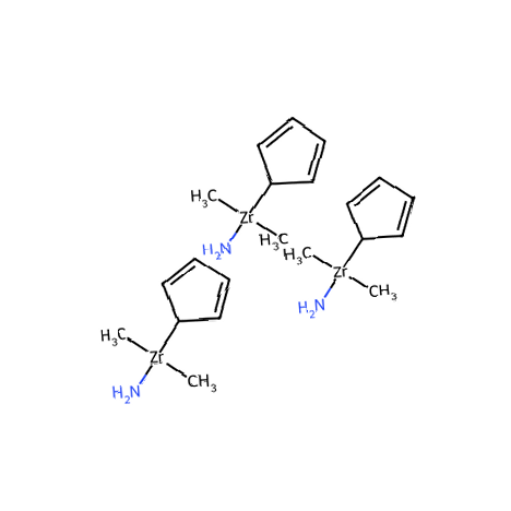 [CH3][Zr]([CH3])([NH2])[CH]1C=CC=C1.[CH3][Zr]([CH3])([NH2])[CH]1C=CC=C1.[CH3][Zr]([CH3])([NH2])[CH]1C=CC=C1